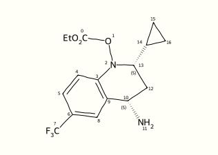 CCOC(=O)ON1c2ccc(C(F)(F)F)cc2[C@@H](N)C[C@H]1C1CC1